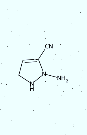 N#CC1=CCNN1N